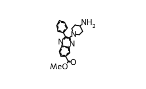 COC(=O)c1ccc2nc(-c3ccccc3)c(N3CCC(N)CC3)nc2c1